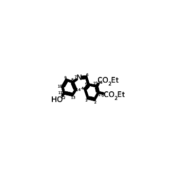 CCOC(=O)c1cccc(/C=N\c2ccc(O)cc2)c1C(=O)OCC